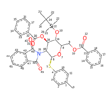 Cc1ccc(S[C@@H]2OC(COC(=O)c3ccccc3)C(O[Si](C)(C)C(C)(C)C)[C@H](OC(=O)c3ccccc3)C2N2C(=O)c3ccccc3C2=O)cc1